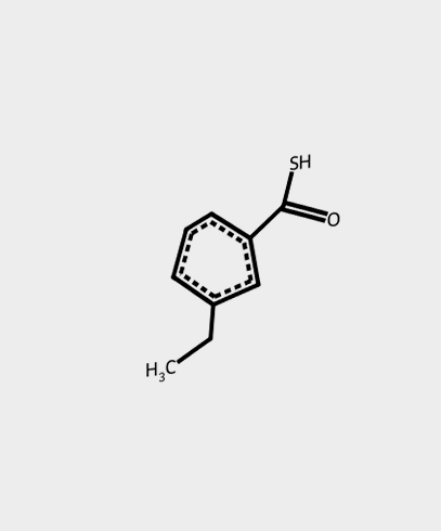 CCc1cccc(C(=O)S)c1